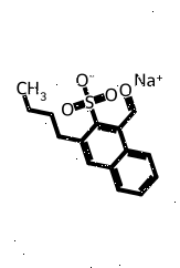 CCCCc1cc2ccccc2c(C=O)c1S(=O)(=O)[O-].[Na+]